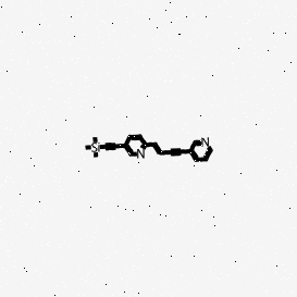 C[Si](C)(C)C#Cc1ccc(/C=C/C#Cc2cccnc2)nc1